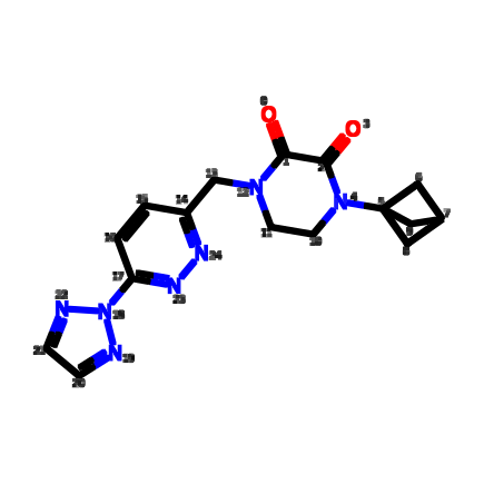 O=C1C(=O)N(C23CC(C2)C3)CCN1Cc1ccc(-n2nccn2)nn1